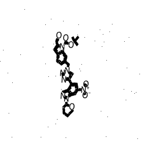 CC(C)(C)OC(=O)n1c(C=O)cc2ccc(Cn3cc(-c4cc([N+](=O)[O-])cc5c4cnn5C4CCCCO4)nn3)cc21